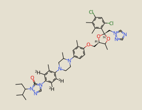 [2H]c1c([2H])c(-n2cnn(C(CC)C(C)C)c2=O)c([2H])c(C)c1N1CCN(c2ccc(OC[C@H]3O[C@](Cn4cncn4)(c4c(Cl)cc(Cl)c(C)c4C)OC3C)c(C)c2)C(C)C1